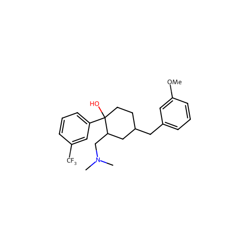 COc1cccc(CC2CCC(O)(c3cccc(C(F)(F)F)c3)C(CN(C)C)C2)c1